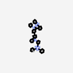 c1ccc(-c2nc(-c3ccccc3)nc(-c3cccc(-n4c5ccccc5c5cc(-c6ccc7c(c6)c6c8ccccc8c8nc9ccccc9n8c6n7-c6ccccc6)ccc54)c3)n2)cc1